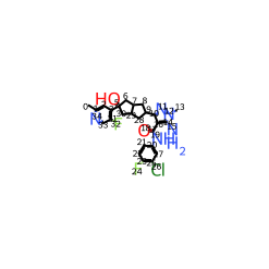 Cc1cc(C2(O)CC3CC(c4nn(C)c(N)c4C(=O)Nc4ccc(F)c(Cl)c4)CC3C2)c(F)cn1